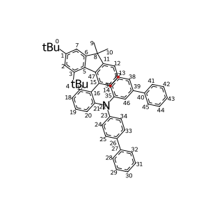 CC(C)(C)c1cc(C(C)(C)C)c2c(c1)C(C)(C)c1cccc(-c3ccccc3N(c3ccc(-c4ccccc4)cc3)c3cccc(-c4ccccc4)c3)c1-2